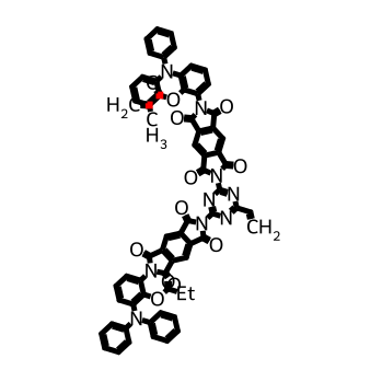 C=Cc1nc(-n2c(=O)c3cc4c(=O)n(-c5cccc(N(c6ccccc6)c6ccccc6)c5OC(=O)CC)c(=O)c4cc3c2=O)nc(-n2c(=O)c3cc4c(=O)n(-c5cccc(N(c6ccccc6)c6ccccc6)c5OC(=O)C(=C)C)c(=O)c4cc3c2=O)n1